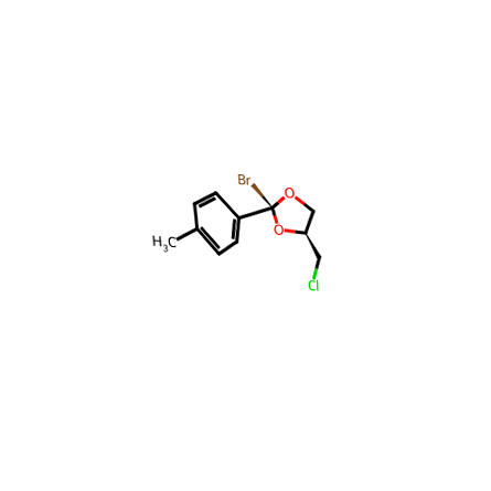 Cc1ccc([C@]2(Br)OC[C@@H](CCl)O2)cc1